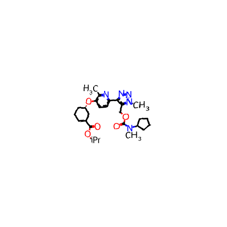 Cc1nc(-c2nnn(C)c2COC(=O)N(C)C2CCCC2)ccc1O[C@H]1CCCC(C(=O)OC(C)C)C1